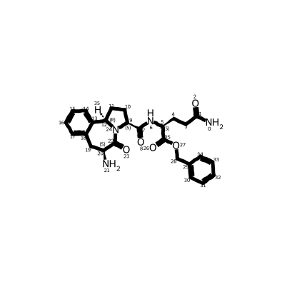 NC(=O)CC[C@H](NC(=O)[C@@H]1CC[C@@H]2c3ccccc3C[C@H](N)C(=O)N21)C(=O)OCc1ccccc1